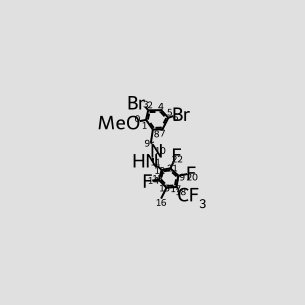 COc1c(Br)cc(Br)cc1/C=N/Nc1c(F)c(C)c(C(F)(F)F)c(F)c1F